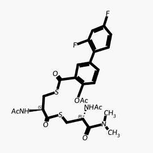 CC(=O)N[C@@H](CSC(=O)c1cc(-c2ccc(F)cc2F)ccc1OC(C)=O)C(=O)SC[C@H](NC(C)=O)C(=O)N(C)C